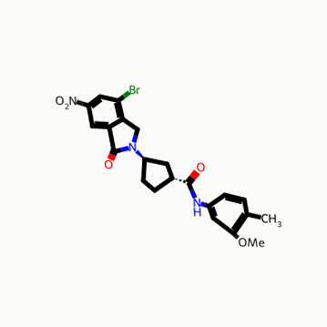 COc1cc(NC(=O)[C@@H]2CC[C@@H](N3Cc4c(Br)cc([N+](=O)[O-])cc4C3=O)C2)ccc1C